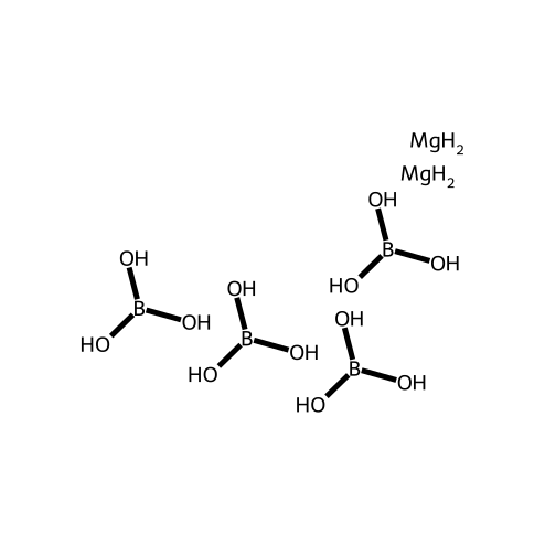 OB(O)O.OB(O)O.OB(O)O.OB(O)O.[MgH2].[MgH2]